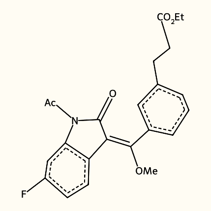 CCOC(=O)CCc1cccc(/C(OC)=C2\C(=O)N(C(C)=O)c3cc(F)ccc32)c1